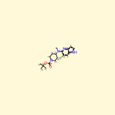 CN(c1nc2cc[nH]c2cc1F)C1CCN(C(=O)OC(C)(C)C)CC1